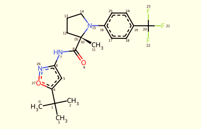 CC(C)(C)c1cc(NC(=O)[C@]2(C)CCCN2c2ccc(C(F)(F)F)cc2)no1